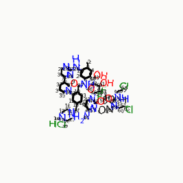 CS(=O)(=O)O.Cc1ccc(NC(=O)c2ccc(CN3CCN(C)CC3)cc2)cc1Nc1nccc(-c2cccnc2)n1.Cl.Nc1ccn([C@@H]2O[C@H](CO)[C@@H](O)C2(F)F)c(=O)n1.O=NN(CCCl)C(=O)NCCCl